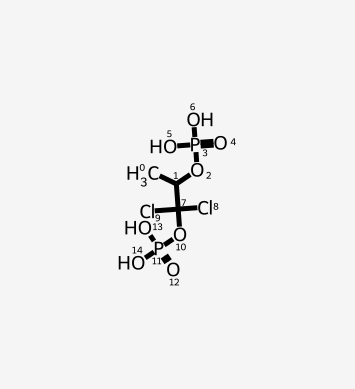 CC(OP(=O)(O)O)C(Cl)(Cl)OP(=O)(O)O